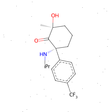 CC(C)N[C@@]1(c2ccc(C(F)(F)F)cc2)CCC[C@](C)(O)C1=O